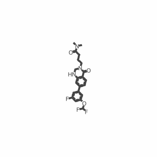 CN(C)C(=O)CCCN1CNc2cc(-c3cc(F)cc(OC(F)F)c3)ccc2C1=O